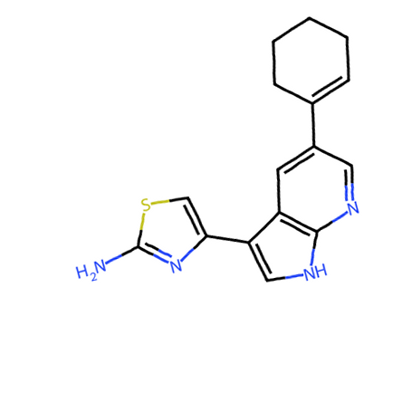 Nc1nc(-c2c[nH]c3ncc(C4=CCCCC4)cc23)cs1